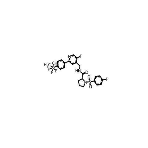 CS(C)(F)(F)(F)c1ccc(-c2cc(CNC(=O)[C@@H]3CCCN3S(=O)(=O)c3ccc(F)cc3)c(F)cn2)cc1